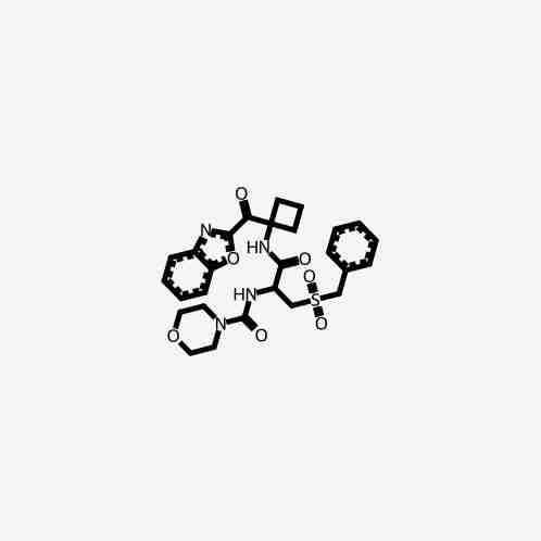 O=C(NC1(C(=O)c2nc3ccccc3o2)CCC1)C(CS(=O)(=O)Cc1ccccc1)NC(=O)N1CCOCC1